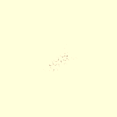 CCCCCCN1C(=O)c2ccc3c4ccc(C(=O)OCCCC)c5c(C(=O)OCCCC)ccc(c6ccc(c2c36)C1=O)c54